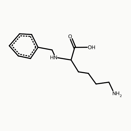 NCCCCC(NCc1ccccc1)C(=O)O